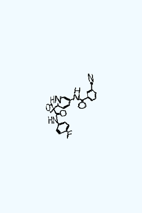 N#Cc1cccc(C(=O)NC2=CNC(C3(C(=O)Nc4ccc(F)cc4)COC3)C=C2)c1